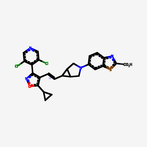 O=C(O)c1nc2ccc(N3CC4C(/C=C/c5c(-c6c(Cl)cncc6Cl)noc5C5CC5)C4C3)cc2s1